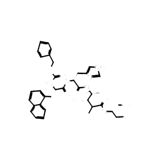 CCC[C@H](NC(=O)[C@H](Cc1c[nH]cn1)NC(=O)[C@H](Cc1cccc2ccccc12)NC(=O)OCc1ccccc1)[C@@H](O)C(C)C(=O)N[C@H](CO)CC(C)C